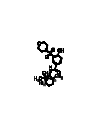 CC1(C)C(NC(=O)c2ccc(O)c(S(=O)(=O)N3CCOCC3)c2)[C@]2(C)CC[C@@H]1C2